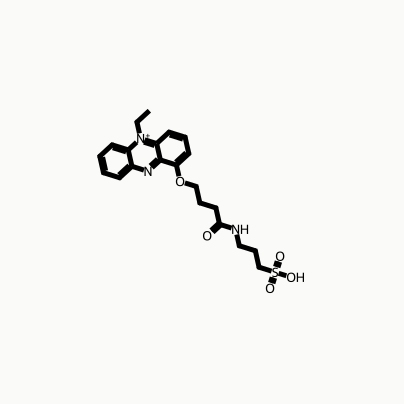 CC[n+]1c2ccccc2nc2c(OCCCC(=O)NCCCS(=O)(=O)O)cccc21